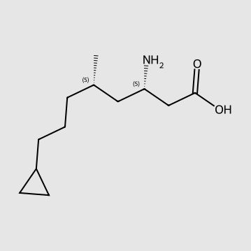 C[C@@H](CCCC1CC1)C[C@H](N)CC(=O)O